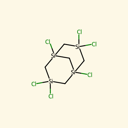 Cl[Si]1(Cl)C[Si]2(Cl)C[Si](Cl)(Cl)C[Si](Cl)(C1)C2